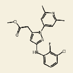 COC(=O)Cc1cc(Nc2cccc(Cl)c2F)nn1-c1cc(C)nc(C)c1